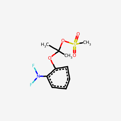 CC(C)(Oc1ccccc1N(F)F)OS(C)(=O)=O